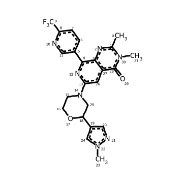 Cc1nc2c(-c3ccc(C(F)(F)F)nc3)nc(N3CCOC(c4cnn(C)c4)C3)cc2c(=O)n1C